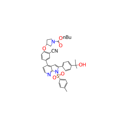 CCCCOC(=O)N1CCC(Oc2ccc(-c3ccnc4c3cc(-c3ccc(C(C)(C)O)cc3)n4S(=O)(=O)c3ccc(C)cc3)cc2C#N)C1